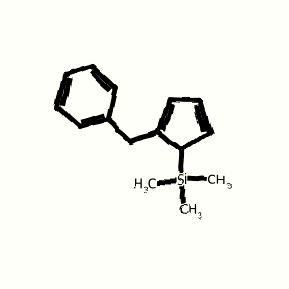 C[Si](C)(C)C1C=CC=C1Cc1ccccc1